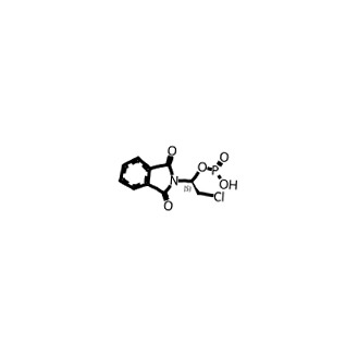 O=C1c2ccccc2C(=O)N1[C@H](CCl)O[P](=O)O